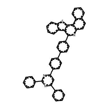 c1ccc(-c2cc(-c3ccc(-c4ccc(-c5nc6ccc7ccccc7c6c6sc7ccccc7c56)cc4)cc3)nc(-c3ccccc3)n2)cc1